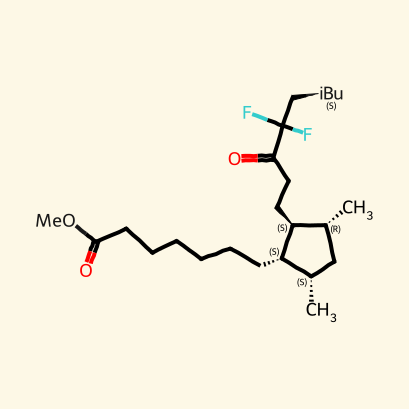 CC[C@H](C)CC(F)(F)C(=O)CC[C@@H]1[C@@H](CCCCCCC(=O)OC)[C@@H](C)C[C@H]1C